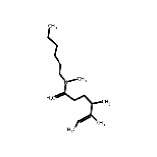 C=C(CCC(C)C(C)=CC)N(C)CCCCCC